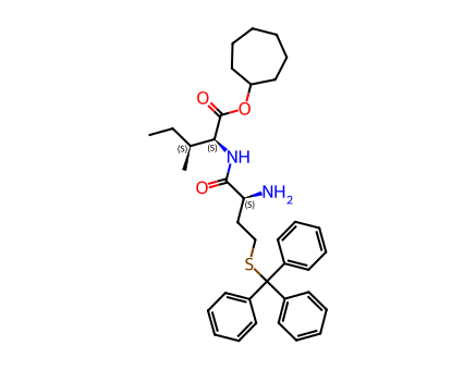 CC[C@H](C)[C@H](NC(=O)[C@@H](N)CCSC(c1ccccc1)(c1ccccc1)c1ccccc1)C(=O)OC1CCCCCC1